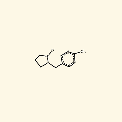 [O-][S+]1CCCC1Cc1ccc(C(F)(F)F)nc1